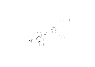 Nc1nc(NC2CC2)c2ncn(CCOCP(=O)(OCOC(=O)O)OCOC(=O)O)c2n1